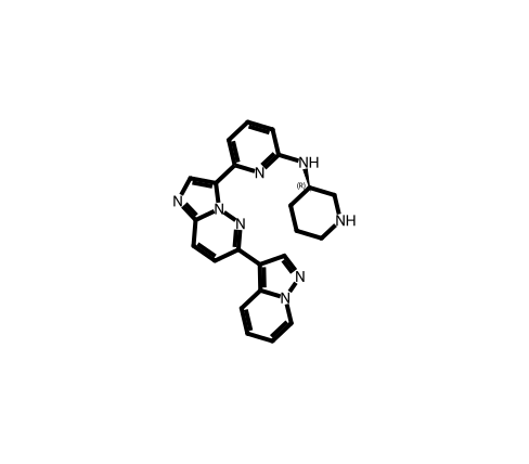 c1cc(N[C@@H]2CCCNC2)nc(-c2cnc3ccc(-c4cnn5ccccc45)nn23)c1